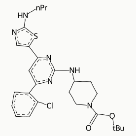 CCCNc1ncc(-c2cc(-c3ccccc3Cl)nc(NC3CCN(C(=O)OC(C)(C)C)CC3)n2)s1